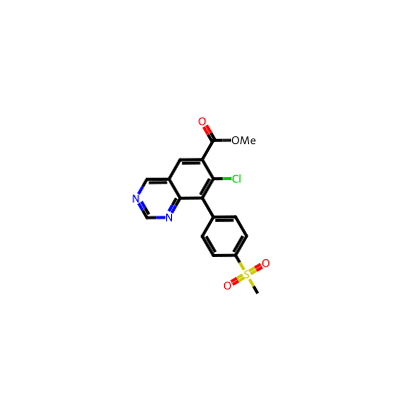 COC(=O)c1cc2cncnc2c(-c2ccc(S(C)(=O)=O)cc2)c1Cl